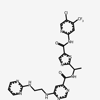 CC(NC(=O)c1cc(NCCNc2ncccn2)ncn1)c1ncc(C(=O)Nc2cc(C(F)(F)F)c(Cl)cn2)s1